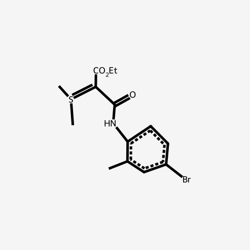 CCOC(=O)C(C(=O)Nc1ccc(Br)cc1C)=S(C)C